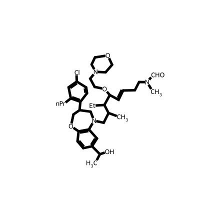 CCCc1cc(Cl)ccc1C1COc2ccc(C(C)O)cc2N(CC(C)C(CC)C(/C=C/CCN(C)C=O)OCCN2CCOCC2)C1